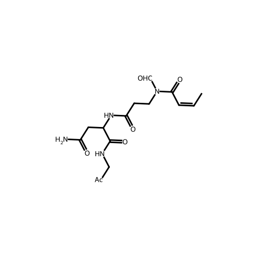 C/C=C\C(=O)N(C=O)CCC(=O)NC(CC(N)=O)C(=O)NCC(C)=O